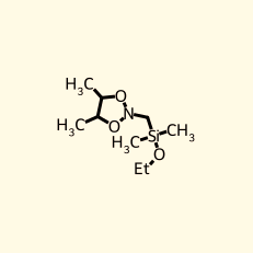 CCO[Si](C)(C)CN1OC(C)C(C)O1